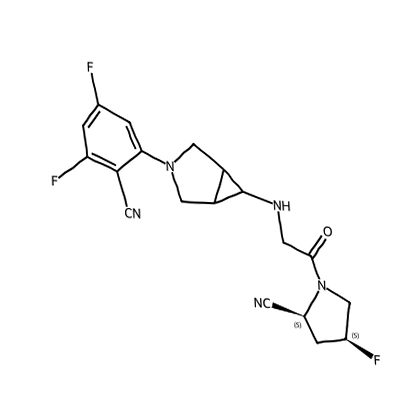 N#Cc1c(F)cc(F)cc1N1CC2C(C1)C2NCC(=O)N1C[C@@H](F)C[C@H]1C#N